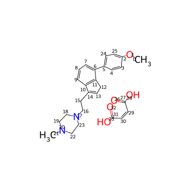 COc1ccc(-c2cccc3c2CC=C3CCN2CCN(C)CC2)cc1.O=C(O)/C=C\C(=O)O